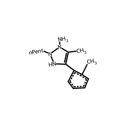 CCCCCN1NC(c2ccccc2C)=C(C)N1N